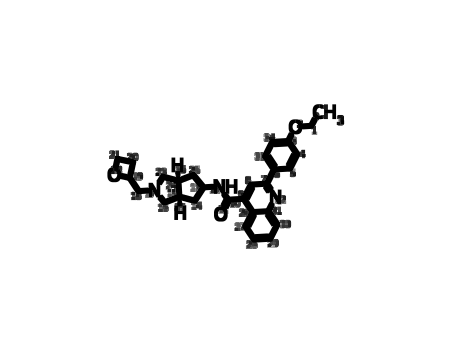 CCOc1ccc(-c2cc(C(=O)NC3C[C@@H]4CN(CC5CCO5)C[C@@H]4C3)c3ccccc3n2)cc1